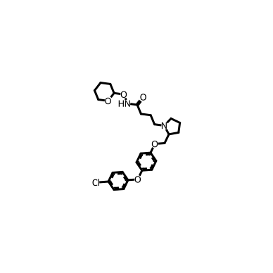 O=C(CCCN1CCCC1COc1ccc(Oc2ccc(Cl)cc2)cc1)NOC1CCCCO1